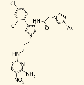 CC(=O)c1ccn(CC(=O)Nc2cn(CCCNc3ccc([N+](=O)[O-])c(N)n3)cc2-c2ccc(Cl)cc2Cl)c1